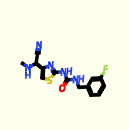 CNC(C#N)c1csc(NC(=O)NCc2cccc(F)c2)n1